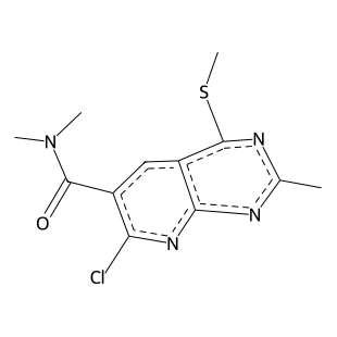 CSc1nc(C)nc2nc(Cl)c(C(=O)N(C)C)cc12